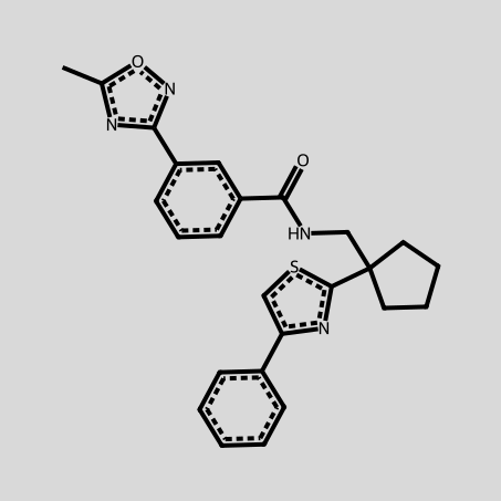 Cc1nc(-c2cccc(C(=O)NCC3(c4nc(-c5ccccc5)cs4)CCCC3)c2)no1